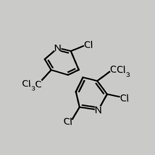 Clc1ccc(C(Cl)(Cl)Cl)c(Cl)n1.Clc1ccc(C(Cl)(Cl)Cl)cn1